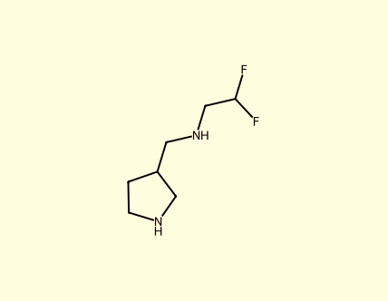 FC(F)CNCC1CCNC1